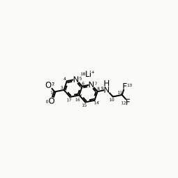 O=C([O-])c1cnc2nc(NCC(F)F)ccc2c1.[Li+]